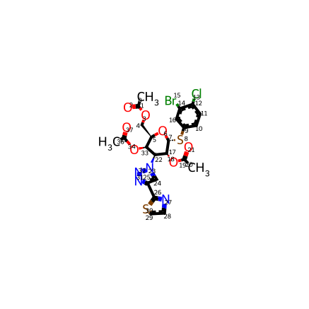 CC(=O)OC[C@H]1O[C@H](Sc2ccc(Cl)c(Br)c2)[C@H](OC(C)=O)[C@@H](n2cc(-c3nccs3)nn2)[C@H]1OC(C)=O